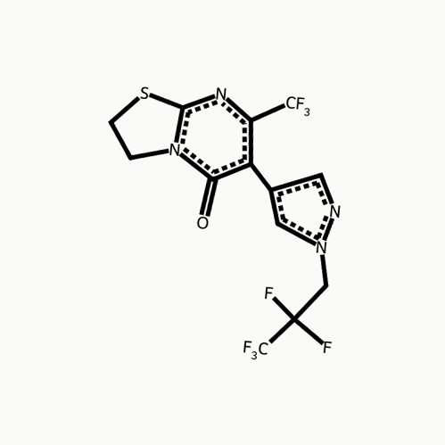 O=c1c(-c2cnn(CC(F)(F)C(F)(F)F)c2)c(C(F)(F)F)nc2n1CCS2